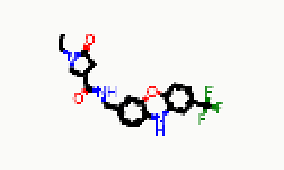 CCN1CC(C(=O)NCc2ccc3c(c2)Oc2ccc(C(F)(F)F)cc2N3)CC1=O